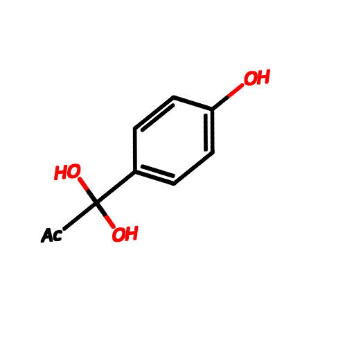 CC(=O)C(O)(O)c1ccc(O)cc1